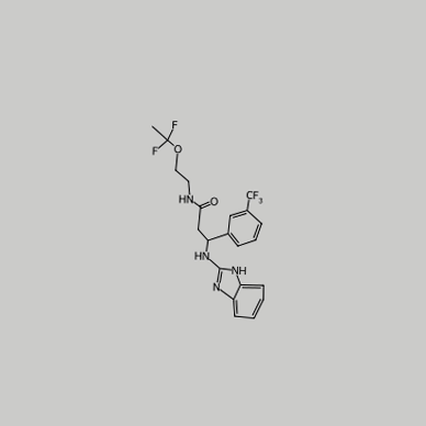 CC(F)(F)OCCNC(=O)CC(Nc1nc2ccccc2[nH]1)c1cccc(C(F)(F)F)c1